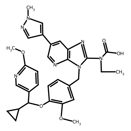 CCN(C(=O)O)c1nc2cc(-c3cnn(C)c3)cnc2n1Cc1ccc(OC(c2ccc(OC)nc2)C2CC2)c(OC)c1